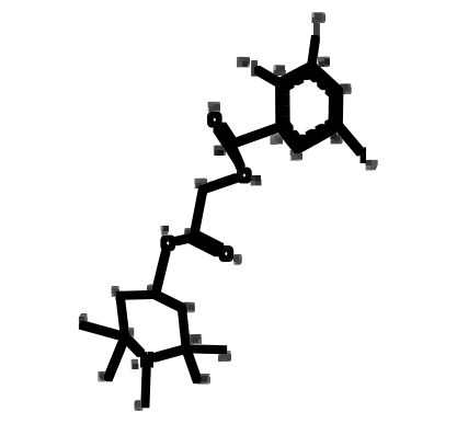 CN1C(C)(C)CC(OC(=O)COC(=O)c2cc(I)cc(I)c2I)CC1(C)C